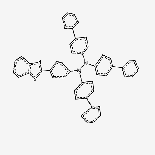 c1ccc(-c2ccc(N(c3ccc(-c4ccccc4)cc3)N(c3ccc(-c4ccccc4)cc3)c3ccc(-c4nc5ccccc5s4)cc3)cc2)cc1